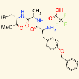 COC(=O)[C@H](CC(C)C)NC(=O)[C@@H](C)NC(=O)[C@@H](N)Cc1ccc(OCc2ccccc2)cc1.O=C(O)C(F)(F)F